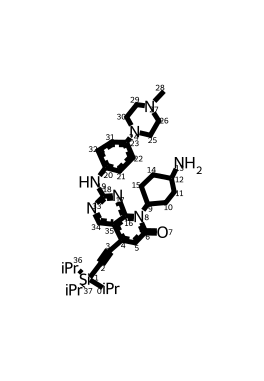 CC(C)[Si](C#Cc1cc(=O)n(C2CCC(N)CC2)c2nc(Nc3ccc(N4CCN(C)CC4)cc3)ncc12)(C(C)C)C(C)C